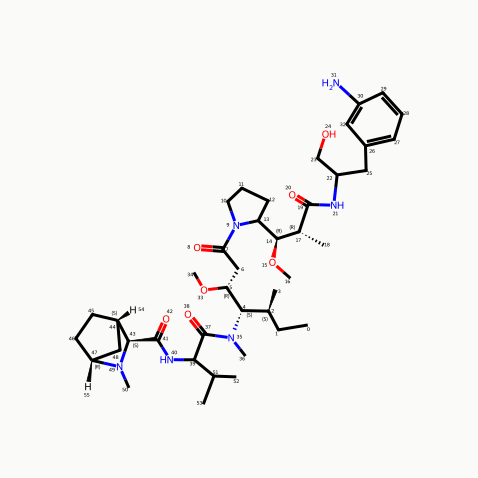 CC[C@H](C)[C@@H]([C@@H](CC(=O)N1CCCC1[C@H](OC)[C@@H](C)C(=O)NC(CO)Cc1cccc(N)c1)OC)N(C)C(=O)C(NC(=O)[C@@H]1[C@H]2CC[C@H](C2)N1C)C(C)C